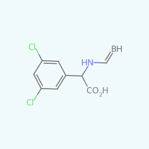 B=CNC(C(=O)O)c1cc(Cl)cc(Cl)c1